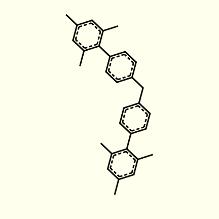 Cc1cc(C)c(-c2ccc(Cc3ccc(-c4c(C)cc(C)cc4C)cc3)cc2)c(C)c1